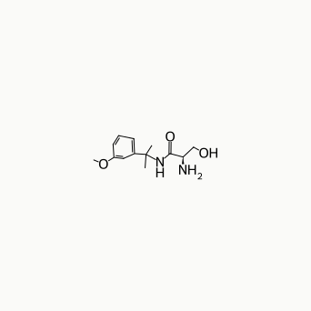 COc1cccc(C(C)(C)NC(=O)[C@H](N)CO)c1